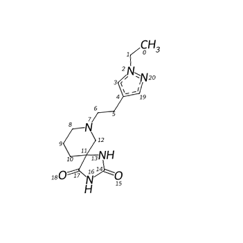 CCn1cc(CCN2CCCC3(C2)NC(=O)NC3=O)cn1